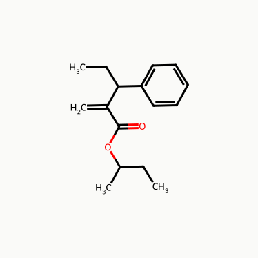 C=C(C(=O)OC(C)CC)C(CC)c1ccccc1